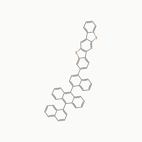 c1ccc2c(-c3c4ccccc4c(-c4ccc(-c5ccc6c(c5)sc5cc7c(cc56)sc5ccccc57)c5ccccc45)c4ccccc34)cccc2c1